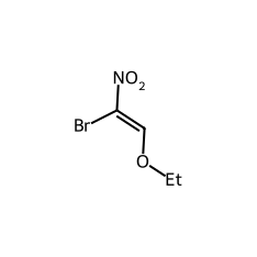 CCOC=C(Br)[N+](=O)[O-]